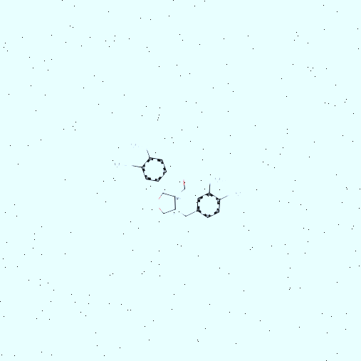 COc1ccc(C[C@H]2CO[C@H](c3ccc(OC)c(OC)c3)[C@H]2CO)cc1OC